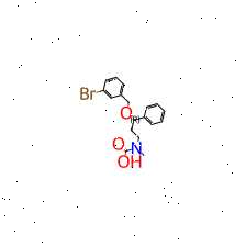 CN(CC[C@@H](OCc1cccc(Br)c1)c1ccccc1)C(=O)O